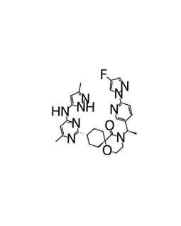 Cc1cc(Nc2cc(C)nc([C@H]3CC[C@]4(CC3)OCCN([C@H](C)c3ccc(-n5cc(F)cn5)nc3)C4=O)n2)[nH]n1